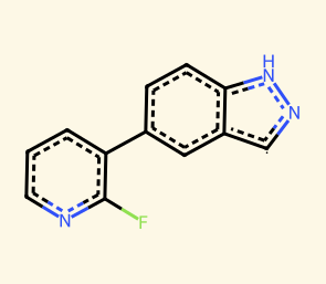 Fc1ncccc1-c1ccc2[nH]n[c]c2c1